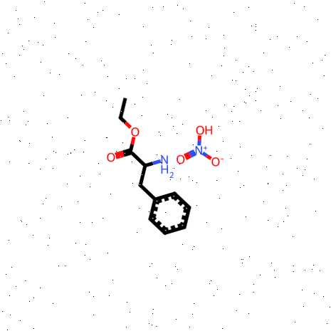 CCOC(=O)C(N)Cc1ccccc1.O=[N+]([O-])O